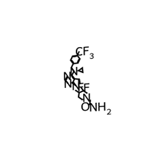 NC(=O)CN1CCC(Cn2ccc3c(N(Cc4ccc(C(F)(F)F)cc4)C4CC4)ncnc32)C(F)(F)C1